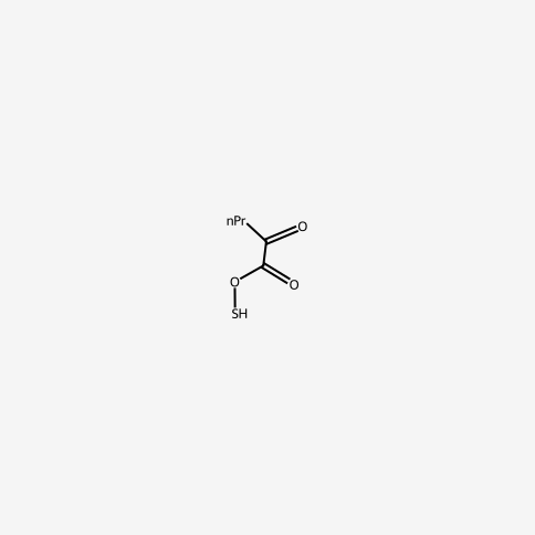 CCCC(=O)C(=O)OS